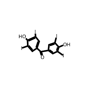 O=C(c1cc(I)c(O)c(I)c1)c1cc(I)c(O)c(I)c1